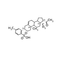 CC(=O)[C@H]1CCC2C3CC=C4C[C@@H](c5cc(C)ccc5S(=O)(=O)O)CC[C@]4(C)C3CC[C@@]21C